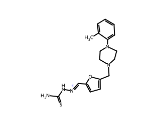 Cc1ccccc1N1CCN(Cc2ccc(/C=N/NC(N)=S)o2)CC1